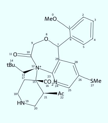 COc1ccccc1C1OCC(=O)[N@@+](CC(C)(C)C)([C@@]2(C(=O)O)CCNC[C@@H]2C(C)=O)c2ccc(SC)cc21